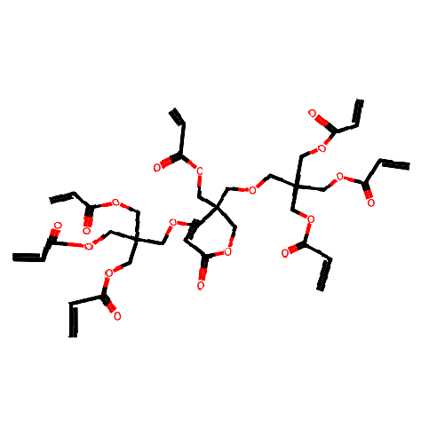 C=CC(=O)OCC(COCC(COC(=O)C=C)(COC(=O)C=C)COC(=O)C=C)(COCC(COC(=O)C=C)(COC(=O)C=C)COC(=O)C=C)COC(=O)C=C